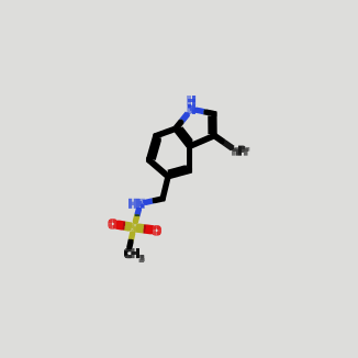 [CH2]CCc1c[nH]c2ccc(CNS(C)(=O)=O)cc12